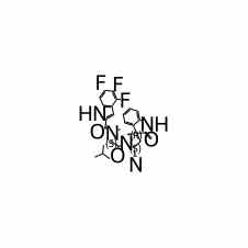 CC(C)C[C@@H](C(=O)N1C[C@]2(C[C@H]1C#N)C(=O)Nc1ccccc12)N(C)C(=O)c1cc2c(F)c(F)c(F)cc2[nH]1